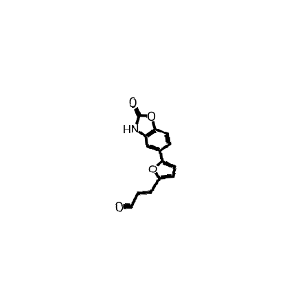 O=CCCc1ccc(-c2ccc3oc(=O)[nH]c3c2)o1